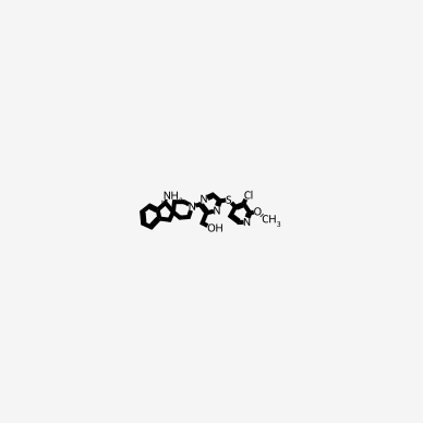 COc1nccc(Sc2cnc(N3CCC4(CC3)Cc3ccccc3[C@H]4N)c(CO)n2)c1Cl